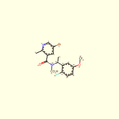 Cc1ncc(Br)cc1C(=O)N(C(=O)O)C(C)c1cc(OC(F)(F)F)ccc1F